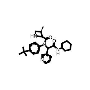 C[C@@H]1CNC1C(=O)N(c1ccc(C(C)(C)C)cc1)C(C(=O)NC1CCCCC1)c1cccnc1